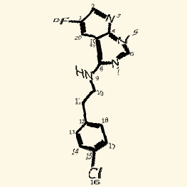 Fc1cnc2ncnc(NCCc3ccc(Cl)cc3)c2c1